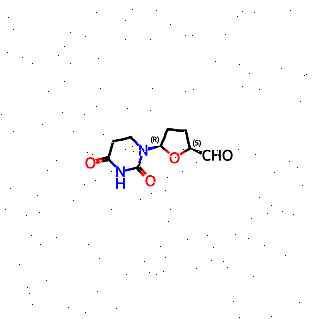 O=C[C@@H]1CC[C@H](N2CCC(=O)NC2=O)O1